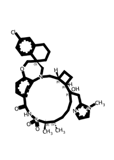 C[C@@H]1[C@@H](C)CCC[C@@](O)(Cc2nccn2C)[C@@H]2CC[C@H]2CN2C[C@@]3(CCCc4cc(Cl)ccc43)COc3ccc(cc32)C(=O)NS1(=O)=O